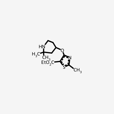 CCOC(=O)c1sc(C)nc1OC1CCNC(C)(C)C1